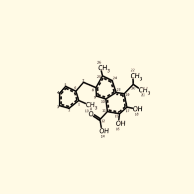 Cc1ccccc1Cc1cc2c(C(=O)O)c(O)c(O)c(C(C)C)c2cc1C